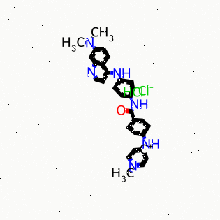 CN(C)c1ccc2c(Nc3ccc(NC(=O)c4ccc(N[c+]5ccn(C)cc5)cc4)cc3)ccnc2c1.Cl.[Cl-]